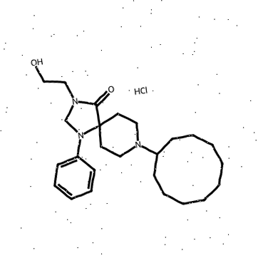 Cl.O=C1N(CCO)CN(c2ccccc2)C12CCN(C1CCCCCCCCC1)CC2